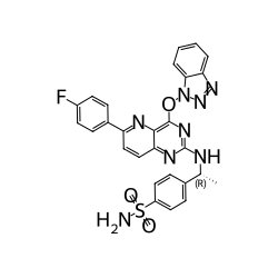 C[C@@H](Nc1nc(On2nnc3ccccc32)c2nc(-c3ccc(F)cc3)ccc2n1)c1ccc(S(N)(=O)=O)cc1